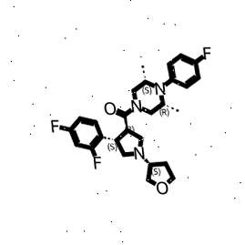 C[C@@H]1CN(C(=O)[C@H]2CN([C@H]3CCOC3)C[C@@H]2c2ccc(F)cc2F)C[C@H](C)N1c1ccc(F)cc1